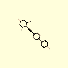 Cc1ccc(-c2ccc(C#CC3C(F)CC(C)CC3F)cc2)cc1